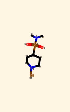 CN(C)S(=O)(=O)C1CCN(S)CC1